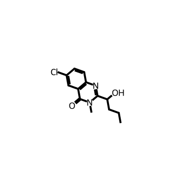 CCCC(O)c1nc2ccc(Cl)cc2c(=O)n1C